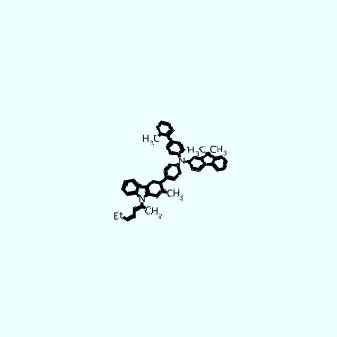 CC/C=C\C=C(/C)n1c2c(c3ccccc31)CC(C1=CCC(N(c3ccc(C4=CC=CCC4C)cc3)C3C=C4C(=CC3)c3ccccc3C4(C)C)C=C1)C(C)C2